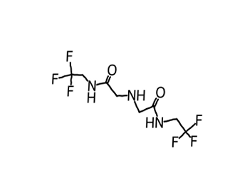 O=C(CNCC(=O)NCC(F)(F)F)NCC(F)(F)F